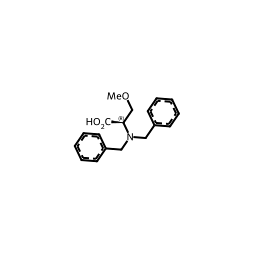 COC[C@H](C(=O)O)N(Cc1ccccc1)Cc1ccccc1